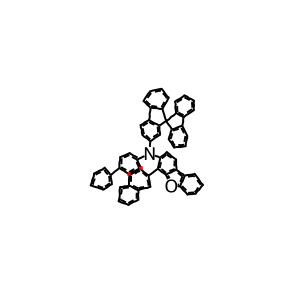 c1ccc(-c2ccc(N(c3ccc4c(c3)C3(c5ccccc5-c5ccccc53)c3ccccc3-4)c3ccc4c(oc5ccccc54)c3-c3ccc4ccccc4c3)cc2)cc1